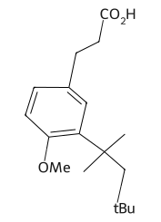 COc1ccc(CCC(=O)O)cc1C(C)(C)CC(C)(C)C